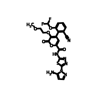 COCCOc1c(-c2c(C#N)cccc2OC(F)F)cc(C(=O)Nc2nnc(-n3nccc3N)s2)oc1=O